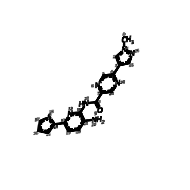 Cn1cc(-c2cnc(C(=O)Nc3nc(-c4cccs4)ccc3N)cn2)cn1